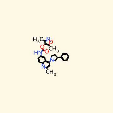 Cc1cc(N2CCC(c3ccccc3)C2)c2cc(NC(=O)Oc3c(C)noc3C)ccc2n1